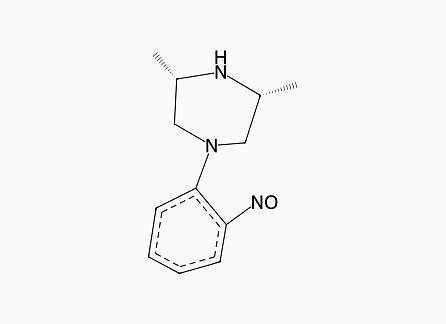 C[C@@H]1CN(c2ccccc2N=O)C[C@H](C)N1